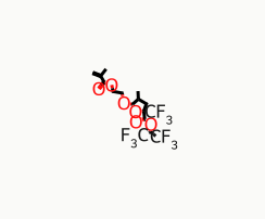 C=C(C)C(=O)OCCOC1OC(C(=O)OC(C(F)(F)F)C(F)(F)F)(C(F)(F)F)CC1C